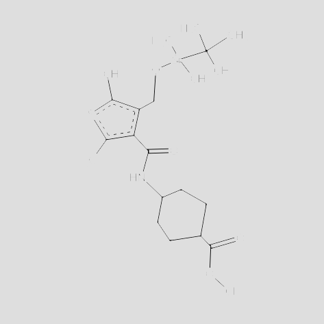 COC(=O)C1CCC(NC(=O)c2c(C)sc(C)c2CO[Si](C)(C)C(C)(C)C)CC1